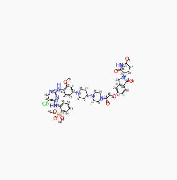 COc1cc(N2CCC(N3CCN(C(=O)COc4ccc5c(c4)CN(C4CCC(=O)NC4=O)C5=O)CC3)CC2)ccc1Nc1ncc(Cl)c(Nc2ccccc2P(=O)(OC)OC)n1